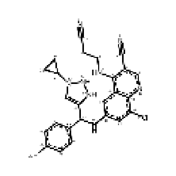 N#CCCNc1c(C#N)cnc2c(Cl)cc(NC(C3=CN(C4CC4)NN3)c3ccc(F)cc3)cc12